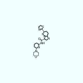 O=C(Nc1cccc(N2CCOCC2)n1)c1cnc2ccc(-c3nccs3)nn12